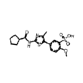 COc1ccc(-c2sc(NC(=O)C3CCCC3)nc2C)cc1S(=O)(=O)O